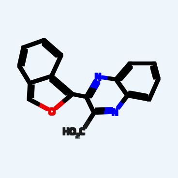 O=C(O)c1nc2ccccc2nc1-c1occ2ccccc12